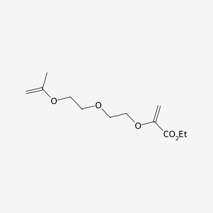 C=C(C)OCCOCCOC(=C)C(=O)OCC